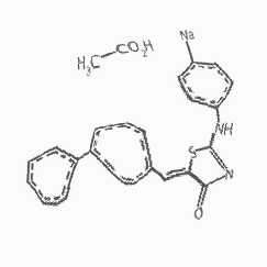 CC(=O)O.O=C1N=C(Nc2cc[c]([Na])cc2)SC1=Cc1cccc(-c2ccccc2)c1